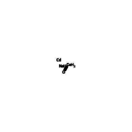 [Cd].[NaH].[O]=[GeH2]